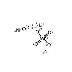 [Co].[Co].[Li+].[Li+].[Ni].[Ni].[O]=[Mn](=[O])([O-])[O-]